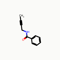 CC#CCNC(=O)c1ccccc1